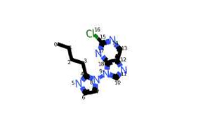 CCCCc1nccn1-n1cnc2cnc(Cl)nc21